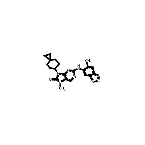 Cc1cc2nsnc2cc1Nc1ncc2c(n1)n(C1CCC3(CC1)CC3)c(=O)n2C